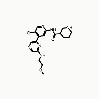 COCCNc1cncc(-c2cc(NC(=O)[C@@H]3CCCNC3)ncc2Cl)n1